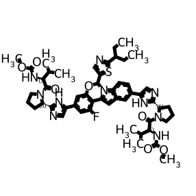 CCC(CC)c1ncc(C2Oc3cc(-c4cnc([C@@H]5CCCN5C(=O)[C@@H](NC(=O)OC)C(C)C)[nH]4)cc(F)c3-c3cc4cc(-c5cnc([C@@H]6CCCN6C(=O)[C@@H](NC(=O)OC)C(C)C)[nH]5)ccc4n32)s1